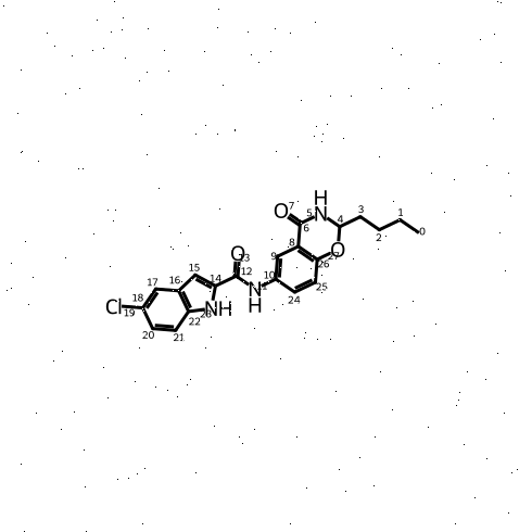 CCCCC1NC(=O)c2cc(NC(=O)c3cc4cc(Cl)ccc4[nH]3)ccc2O1